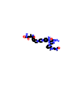 CC(CCC(=O)NC=O)c1noc2c3c(ccc12)CCN(C1CCN(c2ccc(Nc4nc(N5CCCC(N(C)CCN(C)C=O)C5)cnc4C(N)=O)cc2)CC1)C3